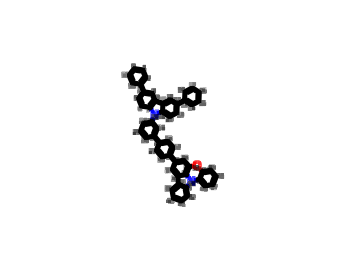 c1ccc(-c2ccc3c(c2)c2cc(-c4ccccc4)ccc2n3-c2cccc(-c3ccc(-c4cc5c6c(c4)c4ccccc4n6-c4ccccc4O5)cc3)c2)cc1